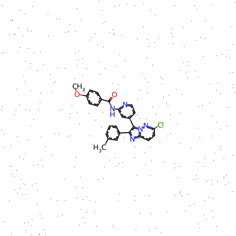 COc1ccc(C(=O)Nc2cc(-c3c(-c4cccc(C)c4)nc4ccc(Cl)nn34)ccn2)cc1